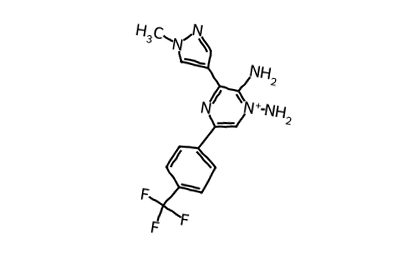 Cn1cc(-c2nc(-c3ccc(C(F)(F)F)cc3)c[n+](N)c2N)cn1